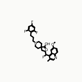 COc1ccc2ncc(C)c(C(F)CCC3(C(=O)O)CCN(CCCc4c(F)cc(F)cc4F)CC3)c2c1